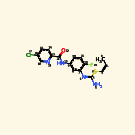 C/C=C\S/C(N)=N\c1cc(NC(=O)c2ccc(Cl)cn2)ccc1F